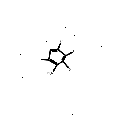 Nc1c(I)cc(Cl)c(F)c1Br